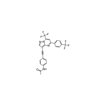 CC(=O)Nc1ccc(C#Cc2cnn3c(C(F)(F)F)cc(-c4ccc(C(F)(F)F)cc4)nc23)cc1